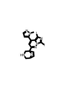 Cn1nccc1-c1cc(C23CCC(CNC2)O3)nn2c(I)nc(I)c12